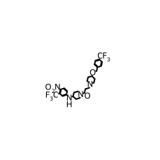 O=C(CCN1CCC(OCc2ccc(C(F)(F)F)cc2)CC1)N1CCC(Nc2ccc([N+](=O)[O-])c(C(F)(F)F)c2)CC1